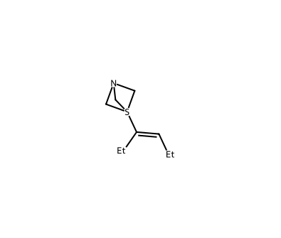 CC/C=C(\CC)S12CN(C1)C2